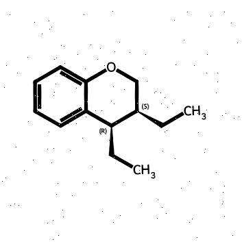 CC[C@@H]1COc2ccccc2[C@@H]1CC